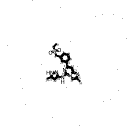 CCS(=O)(=O)Cc1cccc(-c2cc3nc(C)cn3c(Nc3cc(C)[nH]n3)n2)c1